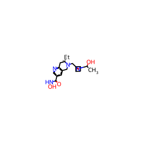 CC[C@H]1Cc2ncc(C(=O)NO)cc2CN1CC12CC(C1)N(C(C)O)C2